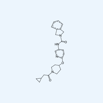 O=C(CC1CC1)N1CCC(Oc2ccc(NC(=O)N3Cc4ccccc4C3)cn2)CC1